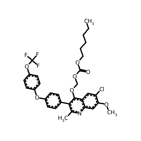 CCCCCCOC(=O)OCOc1c(-c2ccc(Oc3ccc(OC(F)(F)F)cc3)cc2)c(C)nc2cc(OC)c(Cl)cc12